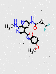 CNc1ncc(-c2nc3cc(OC)ccc3o2)c2cc(NC(=O)[C@@H]3C[C@@H]3C(F)F)cnc12